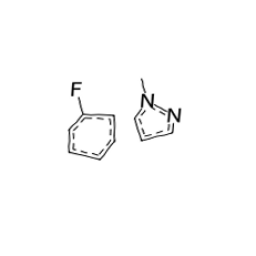 Cn1cccn1.Fc1ccccc1